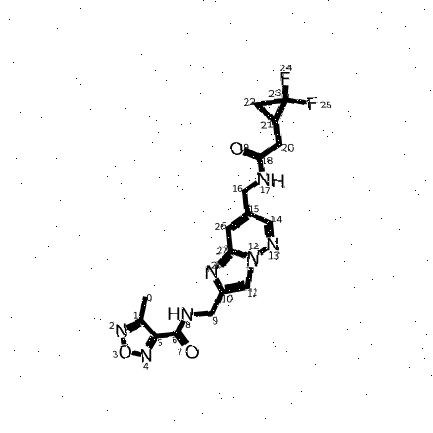 Cc1nonc1C(=O)NCc1cn2ncc(CNC(=O)CC3CC3(F)F)cc2n1